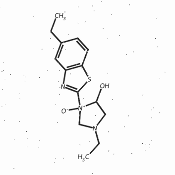 CCc1ccc2sc([N+]3([O-])CN(CC)CC3O)nc2c1